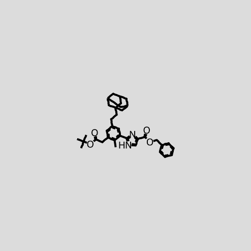 Cc1c(CC(=O)OC(C)(C)C)cc(CCC23CC4CC(CC(C4)C2)C3)cc1-c1nc(C(=O)OCc2ccccc2)c[nH]1